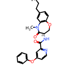 CC(C)CCc1ccc2c(c1)N(C)C(=O)[C@@H](NC(=O)c1cc(Oc3ccccc3)ccn1)CO2